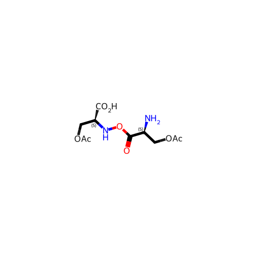 CC(=O)OC[C@H](NOC(=O)[C@@H](N)COC(C)=O)C(=O)O